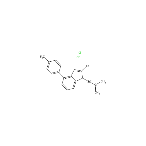 CCC1=Cc2c(-c3ccc(C(F)(F)F)cc3)cccc2[CH]1[Zr+2][Si](C)C.[Cl-].[Cl-]